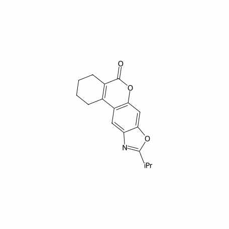 CC(C)c1nc2cc3c4c(c(=O)oc3cc2o1)CCCC4